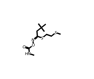 CNC(=O)ON=C(CC(C)(C)C)SCCSC